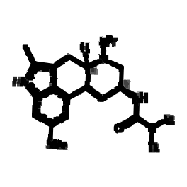 CCCN1C[C@@H](NC(=O)N(CC)CC)CC2c3cc(SC)cc4[nH]c(C)c(c34)C[C@H]21